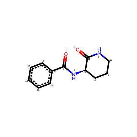 O=C(N[C@@H]1CCCNC1=O)c1ccccc1